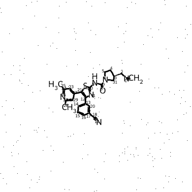 C=NC[C@@H]1CCN(C(=O)Nc2nc(-c3cccc(C#N)c3)c(-c3cc(C)nc(C)c3)s2)C1